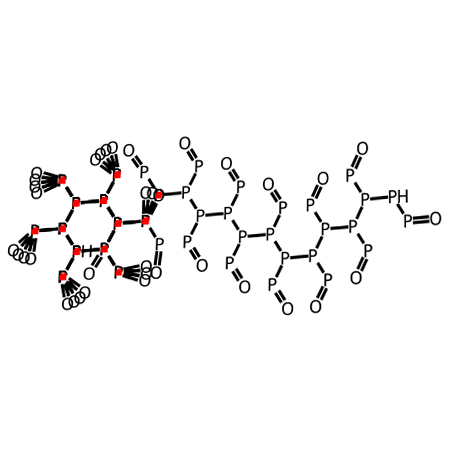 O=PPP(P=O)P(P=O)P(P=O)P(P=O)P(P=O)P(P=O)P(P=O)P(P=O)P(P=O)P(P=O)P(P=O)P(P=O)P(P=O)P(P=O)P(P=O)P(P=O)P(P=O)P(P=O)P(P=O)P(P=O)P(P=O)P(P=O)P(P=O)P(P=O)P(P=O)P(P=O)P(P=O)P(P=O)P(P=O)P(P=O)P(P=O)P(P=O)P(P=O)P(P=O)PP=O